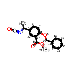 CCC(N=C=O)c1ccc(OCc2ccccc2)c(C(=O)OC(C)(C)C)c1